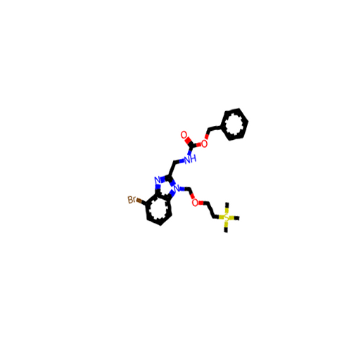 CS(C)(C)CCOCn1c(CNC(=O)OCc2ccccc2)nc2c(Br)cccc21